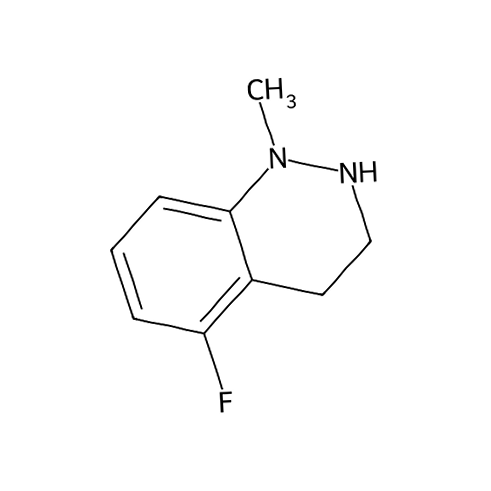 CN1NCCc2c(F)cccc21